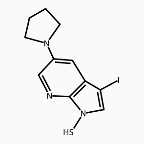 Sn1cc(I)c2cc(N3CCCC3)cnc21